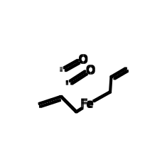 C=C[CH2][Fe][CH2]C=C.[C]=O.[C]=O